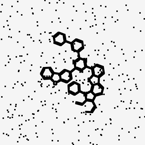 C=Cc1c(/C=C\C)c2ccc3c4cccc(-c5nc(-c6cccc(-c7ccccc7)c6)nc(-c6ccc7oc8ccccc8c7c6)n5)c4sc3c2n1-c1ccccc1